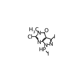 Cn1c(Cl)nc2c(c(I)nn2PI)c1=O